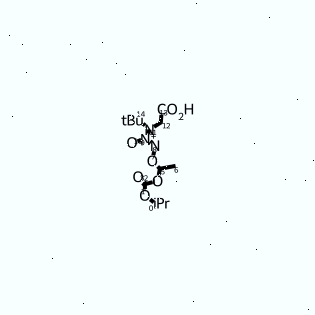 CC(C)OC(=O)OC(C)ON=[N+]([O-])N(CC(=O)O)C(C)(C)C